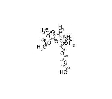 CC(=O)NC1C(OCCOCCOCCO)OC(COC(C)=O)C(OC(C)=O)C1C